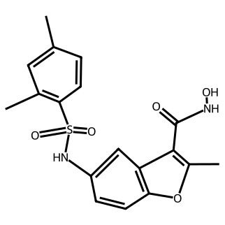 Cc1ccc(S(=O)(=O)Nc2ccc3oc(C)c(C(=O)NO)c3c2)c(C)c1